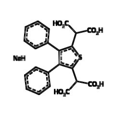 O=C(O)C(C(=O)O)c1sc(C(C(=O)O)C(=O)O)c(-c2ccccc2)c1-c1ccccc1.[NaH]